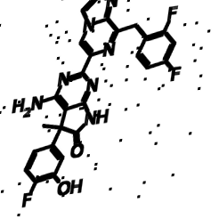 CC1(c2ccc(F)c(O)c2)C(=O)Nc2nc(-c3cn4ccnc4c(Cc4ccc(F)cc4F)n3)nc(N)c21